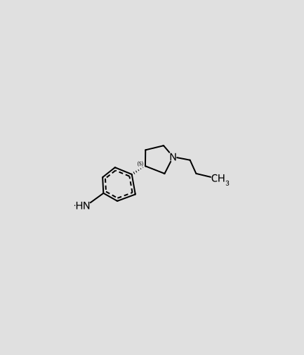 CCCN1CC[C@@H](c2ccc([NH])cc2)C1